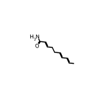 CC=CC=CCCC=CC(N)=O